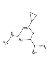 CNC/N=C(\SC(C)[C@H](C)O)C1CC1